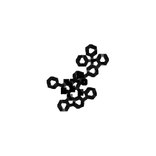 c1ccc(-c2nc(-c3ccccc3)nc(-n3c4ccccc4c4ccc5c6ccccc6n(-c6cccc7nc(-c8ccc9c(c8)C(c8ccccc8)(c8ccccc8)c8ccccc8-9)oc67)c5c43)n2)cc1